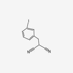 N#CC(C#N)Cc1cccc(I)c1